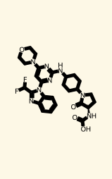 O=C(O)N[C@@H]1CCN(C2CCC(Nc3nc(N4CCOCC4)cc(-n4c(C(F)F)nc5ccccc54)n3)CC2)C1=O